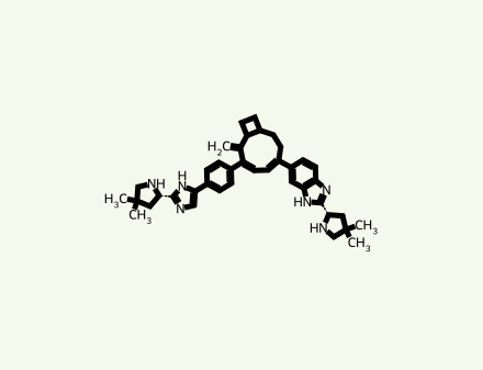 C=C1/C(c2ccc(-c3cnc([C@@H]4CC(C)(C)CN4)[nH]3)cc2)=C\C=C(\c2ccc3nc([C@@H]4CC(C)(C)CN4)[nH]c3c2)CCC2CCC12